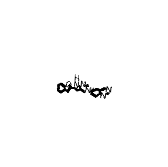 c1ccc2oc(-c3cc4c[n+](-c5ccc6ncncc6c5)cnc4[nH]3)cc2c1